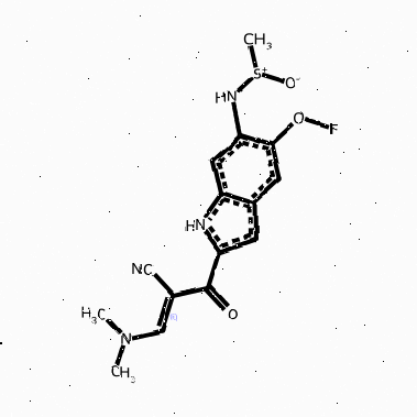 CN(C)/C=C(\C#N)C(=O)c1cc2cc(OF)c(N[S+](C)[O-])cc2[nH]1